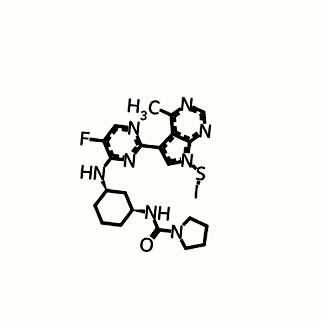 Cc1ncnc2c1c(-c1ncc(F)c(N[C@@H]3CCC[C@H](NC(=O)N4CCCC4)C3)n1)cn2SI